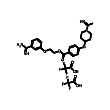 CC(=N)N1CCC(Oc2ccc(C(=O)OCCOc3cccc(C(=N)N)c3)cc2)CC1.O=C(O)C(F)(F)F.O=C(O)C(F)(F)F